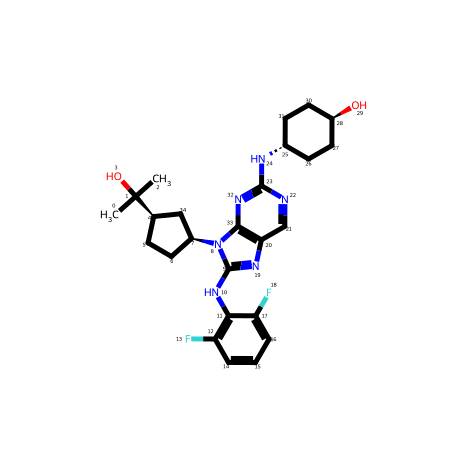 CC(C)(O)[C@@H]1CC[C@H](n2c(Nc3c(F)cccc3F)nc3cnc(N[C@H]4CC[C@H](O)CC4)nc32)C1